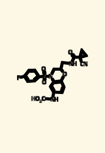 N#CC1(C(=O)NCC2CN(S(=O)(=O)c3ccc(F)cc3)c3cc(NC(=O)O)ccc3O2)CC1